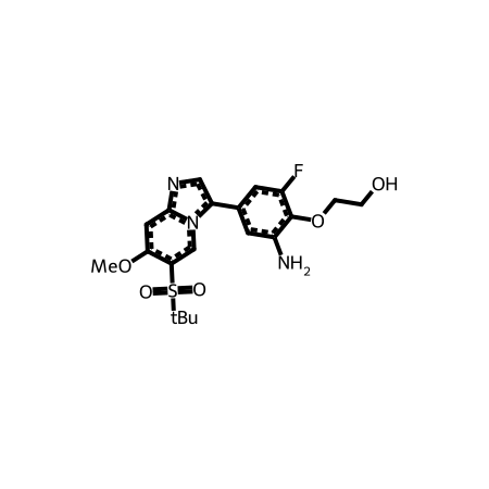 COc1cc2ncc(-c3cc(N)c(OCCO)c(F)c3)n2cc1S(=O)(=O)C(C)(C)C